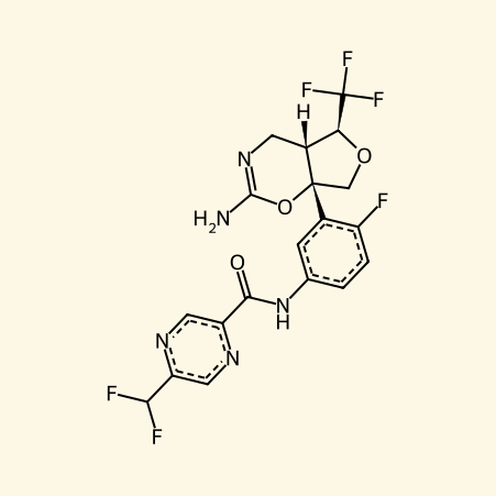 NC1=NC[C@@H]2[C@@H](C(F)(F)F)OC[C@]2(c2cc(NC(=O)c3cnc(C(F)F)cn3)ccc2F)O1